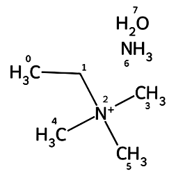 CC[N+](C)(C)C.N.O